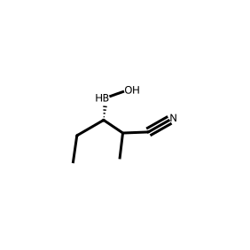 CC[C@H](BO)C(C)C#N